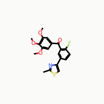 COc1cc(C(=O)c2cc(-c3csc(C)n3)ccc2F)cc(OC)c1OC